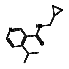 CC(C)c1ccncc1C(=O)NCC1CC1